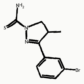 CC1CN(C(N)=S)N=C1c1cccc(Br)c1